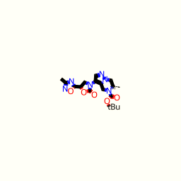 Cc1noc(C2CN(c3cnn4c3CN(C(=O)OC(C)(C)C)[C@@H](C)C4)C(=O)O2)n1